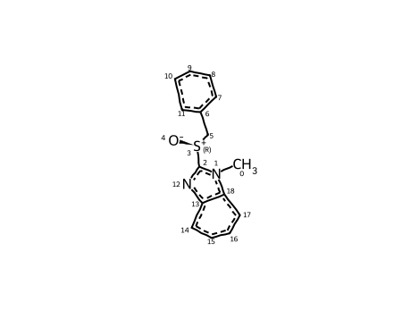 Cn1c([S@@+]([O-])Cc2ccccc2)nc2ccccc21